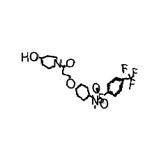 CN(C1CCC(OCCC(=O)N2CCC(O)CC2)CC1)S(=O)(=O)c1ccc(C(F)(F)F)cc1